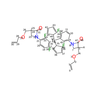 C=CCOCC1(C)CN(c2ccc(F)[c]([Ti]([c]3c(F)ccc(N4CC(C)(COCC=C)C4=O)c3F)([CH]3C=CC=C3)[CH]3C=CC=C3)c2F)C1=O